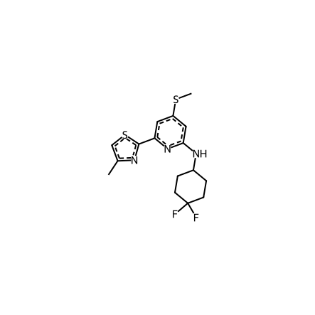 CSc1cc(NC2CCC(F)(F)CC2)nc(-c2nc(C)cs2)c1